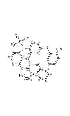 CS.N#Cc1ccccc1Cc1ccc(OS(=O)(=O)C(F)(F)F)c(-c2c3ccccc3cc3cc4ccccc4cc23)c1